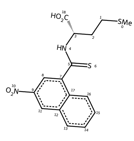 CSCC[C@H](NC(=S)c1cc([N+](=O)[O-])cc2ccccc12)C(=O)O